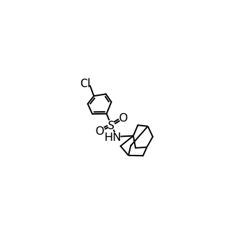 O=S(=O)(NC12CC3CC(CC(C3)C1)C2)c1ccc(Cl)cc1